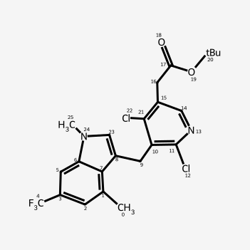 Cc1cc(C(F)(F)F)cc2c1c(Cc1c(Cl)ncc(CC(=O)OC(C)(C)C)c1Cl)cn2C